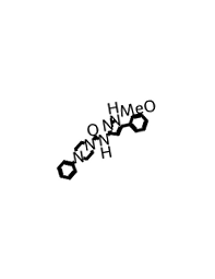 COc1ccccc1-c1cc(NC(=O)N2CCN(c3ccccc3)CC2)n[nH]1